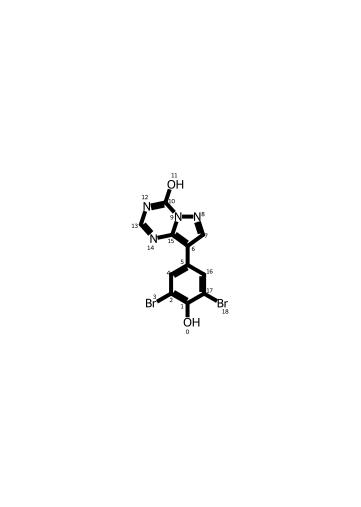 Oc1c(Br)cc(-c2cnn3c(O)ncnc23)cc1Br